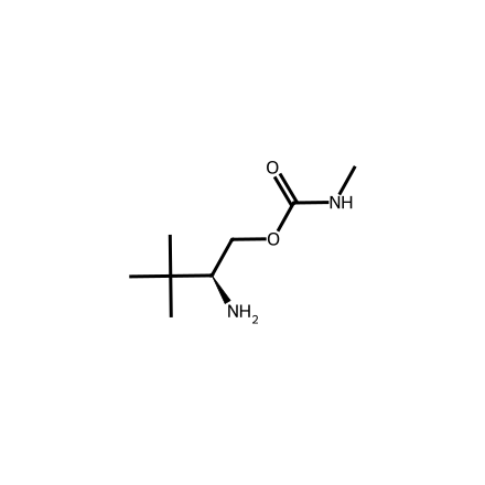 CNC(=O)OC[C@@H](N)C(C)(C)C